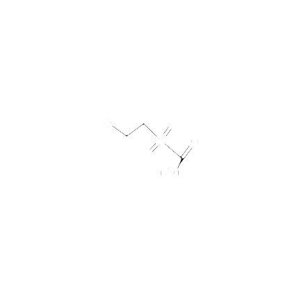 CCCCC(=O)S(=O)(=O)CCO